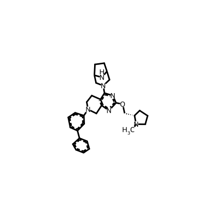 CN1CCC[C@H]1COc1nc2c(c(N3CC4CCC(C3)N4)n1)CCN(c1cccc(-c3ccccc3)c1)C2